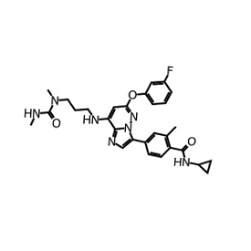 CNC(=O)N(C)CCCNc1cc(Oc2cccc(F)c2)nn2c(-c3ccc(C(=O)NC4CC4)c(C)c3)cnc12